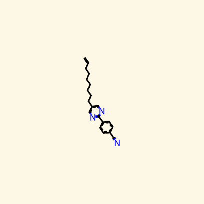 C=CCCCCCCCc1cnc(-c2ccc(C#N)cc2)nc1